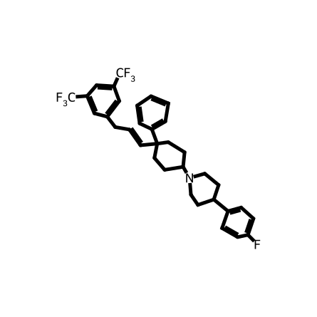 Fc1ccc(C2CCN(C3CCC(/C=C/Cc4cc(C(F)(F)F)cc(C(F)(F)F)c4)(c4ccccc4)CC3)CC2)cc1